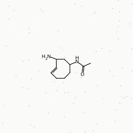 CC(=O)NC1CCC/C=C/C(N)C1